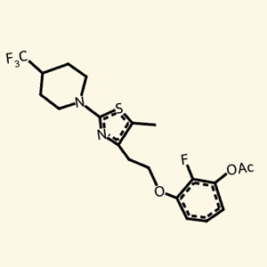 CC(=O)Oc1cccc(OCCc2nc(N3CCC(C(F)(F)F)CC3)sc2C)c1F